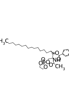 CCCCCCCCCCCCCCC[C@@H](OC(=O)c1ccccc1)C(COP1(=O)OCCO1)NC(C)=O